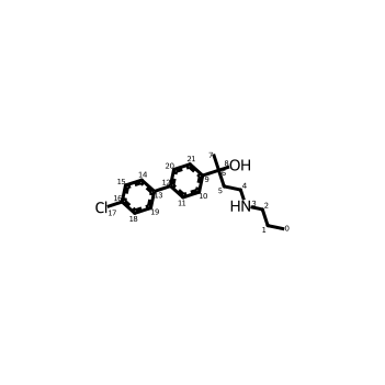 CCCNCCC(C)(O)c1ccc(-c2ccc(Cl)cc2)cc1